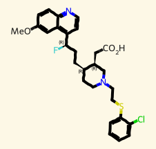 COc1ccc2nccc([C@H](F)CC[C@@H]3CCN(CCSc4ccccc4Cl)C[C@@H]3CC(=O)O)c2c1